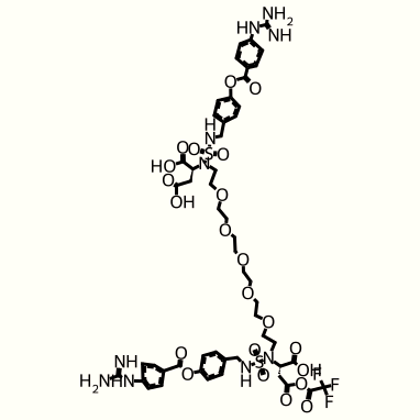 N=C(N)Nc1ccc(C(=O)Oc2ccc(CNS(=O)(=O)N(CCOCCOCCOCCOCCOCCN([C@@H](CC(=O)OC(=O)C(F)(F)F)C(=O)O)S(=O)(=O)NCc3ccc(OC(=O)c4ccc(NC(=N)N)cc4)cc3)[C@@H](CC(=O)O)C(=O)O)cc2)cc1